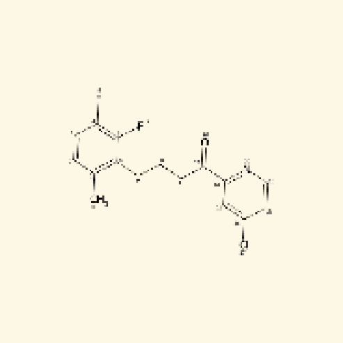 Cc1ccc(F)c(F)c1CCCC(=O)c1cc(Cl)ccn1